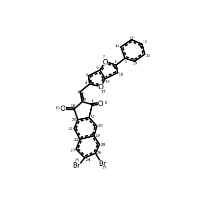 O=C1C(=Cc2cc3oc(-c4ccccc4)cc3o2)C(=O)c2cc3cc(Br)c(Br)cc3cc21